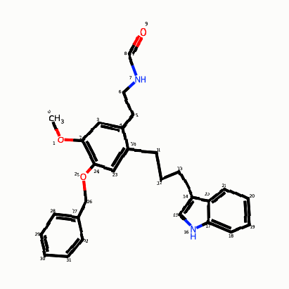 COc1cc(CCNC=O)c(CCCc2c[nH]c3ccccc23)cc1OCc1ccccc1